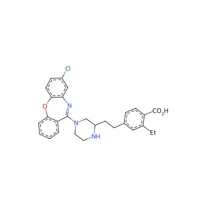 CCc1cc(CCC2CN(C3=Nc4cc(Cl)ccc4Oc4ccccc43)CCN2)ccc1C(=O)O